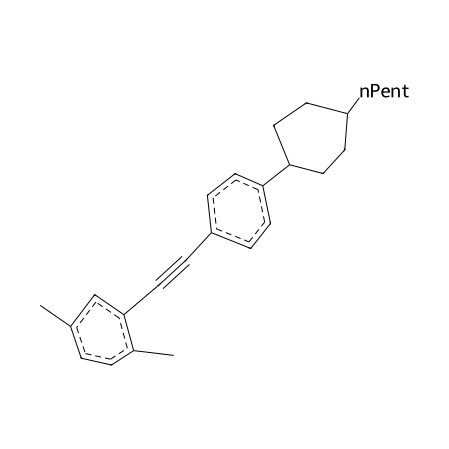 CCCCCC1CCC(c2ccc(C#Cc3cc(C)ccc3C)cc2)CC1